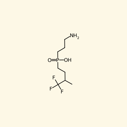 CC(CCP(=O)(O)CCCN)C(F)(F)F